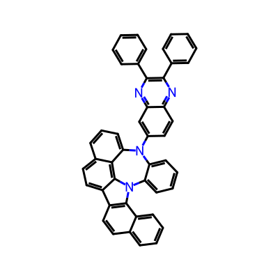 c1ccc(-c2nc3ccc(-n4c5cccc6ccc7c8ccc9ccccc9c8n(c8ccccc84)c7c65)cc3nc2-c2ccccc2)cc1